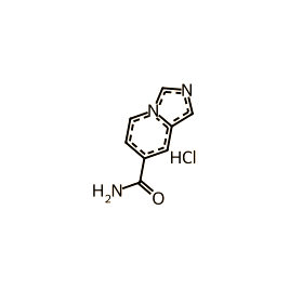 Cl.NC(=O)c1ccn2cncc2c1